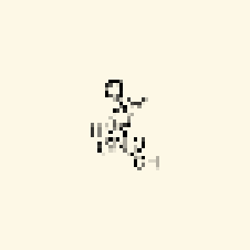 CCNC1(c2ccccc2)CCC2(CC1)CN(CC(=O)O)C(=O)N2